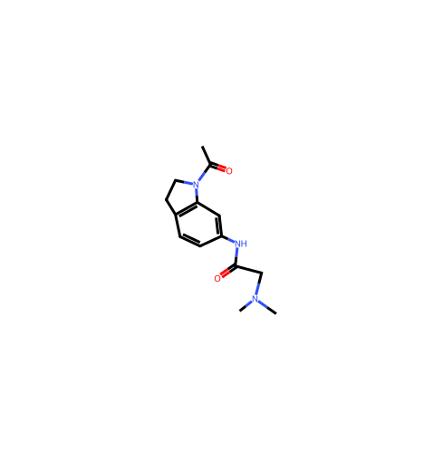 CC(=O)N1CCc2ccc(NC(=O)CN(C)C)cc21